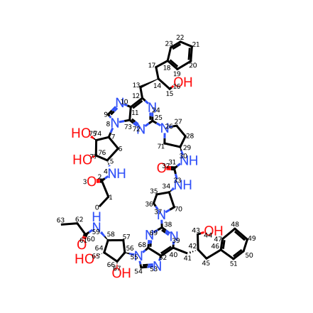 CCC(=O)N[C@H]1CC(n2cnc3c(C[C@H](CO)Cc4ccccc4)nc(N4CC[C@@H](NC(=O)N[C@@H]5CCN(c6nc(C[C@H](CO)Cc7ccccc7)c7ncn([C@@H]8C[C@H](NC(=O)CC)[C@@H](O)[C@H]8O)c7n6)C5)C4)nc32)[C@H](O)[C@@H]1O